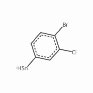 Clc1c[c]([SnH])ccc1Br